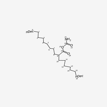 CCCCCCCCCCCCCCCCCCC(CCCCCCCCCCCCCCCC)C(=O)OC(N)=O